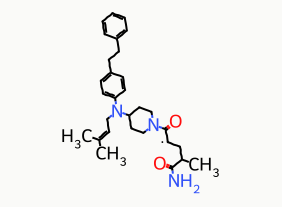 CC(C)=CCN(c1ccc(CCc2ccccc2)cc1)C1CCN(C(=O)[CH]CC(C)C(N)=O)CC1